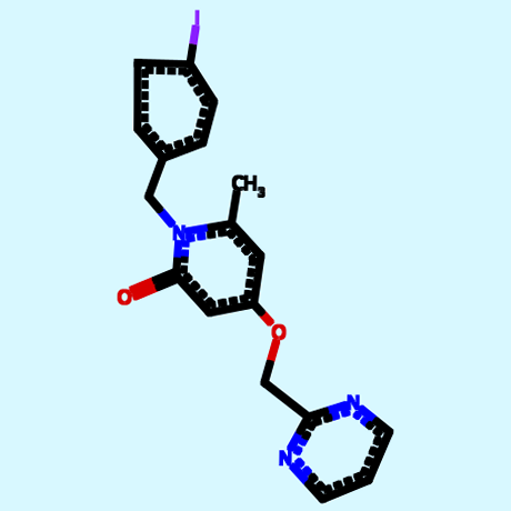 Cc1cc(OCc2ncccn2)cc(=O)n1Cc1ccc(I)cc1